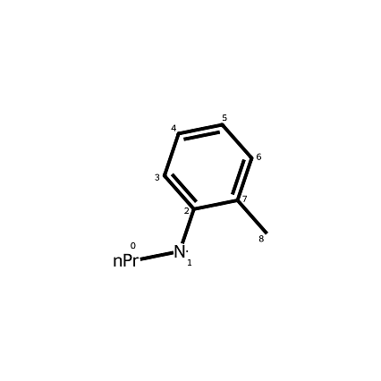 CCC[N]c1ccccc1C